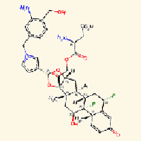 C[C@]12C=CC(=O)C=C1[C@@H](F)C[C@H]1[C@@H]3C[C@H]4O[C@@H](c5ccn(Cc6ccc(CO)c(N)c6)c5)O[C@@]4(C(=O)COC(=O)[C@@H](N)CC(=O)O)[C@@]3(C)C[C@H](O)[C@@]12F